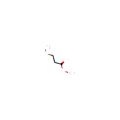 CC(C)(C)OC(=O)CCSC#N